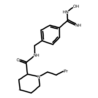 CC(C)CCN1CC[CH]CC1C(=O)NCc1ccc(C(=N)NO)cc1